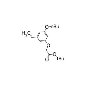 C=Cc1cc(OCCCC)cc(OCC(=O)OC(C)(C)C)c1